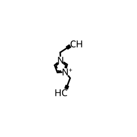 C#CCn1cc[n+](CC#C)c1